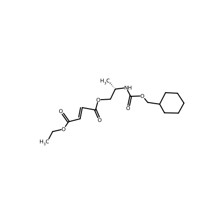 CCOC(=O)/C=C/C(=O)OC[C@H](C)NC(=O)OCC1CCCCC1